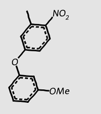 COc1cccc(Oc2ccc([N+](=O)[O-])c(C)c2)c1